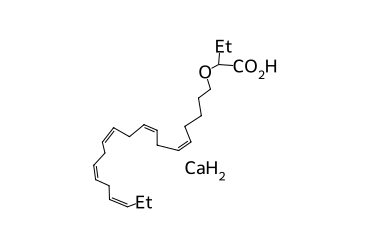 CC/C=C\C/C=C\C/C=C\C/C=C\C/C=C\CCCCOC(CC)C(=O)O.[CaH2]